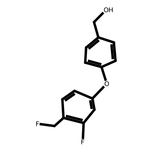 OCc1ccc(Oc2ccc(CF)c(F)c2)cc1